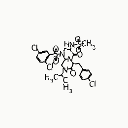 CC(C)N1CC2N(C(=O)C(NS(C)(=O)=O)CN2S(=O)(=O)c2cc(Cl)ccc2Cl)C(Cc2ccc(Cl)cc2)C1=O